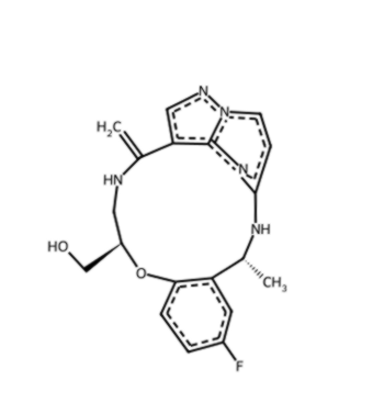 C=C1NC[C@H](CO)Oc2ccc(F)cc2[C@@H](C)Nc2ccn3ncc1c3n2